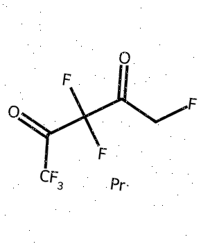 O=C(CF)C(F)(F)C(=O)C(F)(F)F.[Pr]